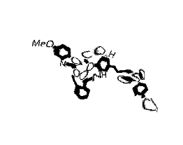 COc1ccc2oc(OCc3ccccc3C(=O)Nc3cc(CCCS(=O)(=O)c4ccc(Cl)cc4)ccc3OCC(=O)O)nc2c1